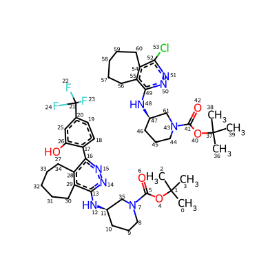 CC(C)(C)OC(=O)N1CCC[C@@H](Nc2nnc(-c3ccc(C(F)(F)F)cc3O)c3c2CCCCC3)C1.CC(C)(C)OC(=O)N1CCC[C@@H](Nc2nnc(Cl)c3c2CCCCC3)C1